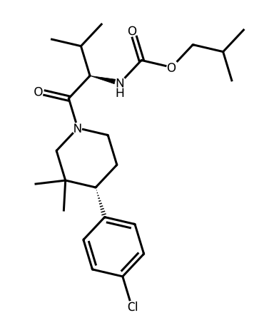 CC(C)COC(=O)N[C@@H](C(=O)N1CC[C@H](c2ccc(Cl)cc2)C(C)(C)C1)C(C)C